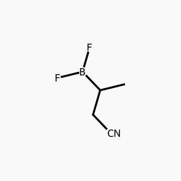 CC(CC#N)B(F)F